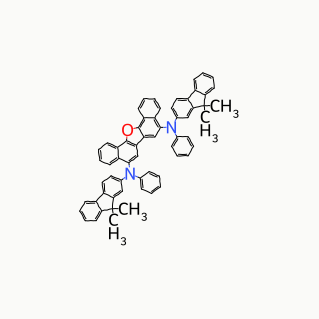 CC1(C)c2ccccc2-c2ccc(N(c3ccccc3)c3cc4c5cc(N(c6ccccc6)c6ccc7c(c6)C(C)(C)c6ccccc6-7)c6ccccc6c5oc4c4ccccc34)cc21